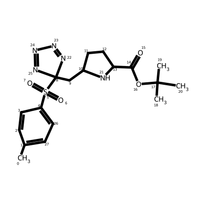 Cc1ccc(S(=O)(=O)C2(CC3CCC(C(=O)OC(C)(C)C)N3)N=NN=N2)cc1